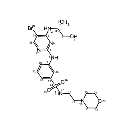 C[C@H](CO)Nc1nc(Nc2cccc(S(=O)(=O)NCCN3CCOCC3)c2)ncc1Br